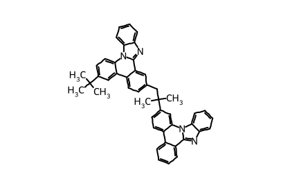 CC(C)(C)c1ccc2c(c1)c1ccc(CC(C)(C)c3ccc4c5ccccc5c5nc6ccccc6n5c4c3)cc1c1nc3ccccc3n21